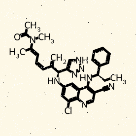 C=C(/C=C\C=C(/C)N(C)C(C)=O)[C@H](Nc1cc(Cl)c2ncc(C#N)c(N[C@H](CC)c3ccccc3)c2c1)c1c[nH]nn1